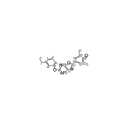 CCc1cccc(Oc2ncc3nc(-c4cc(C)c([O])c(C)c4)oc3n2)c1